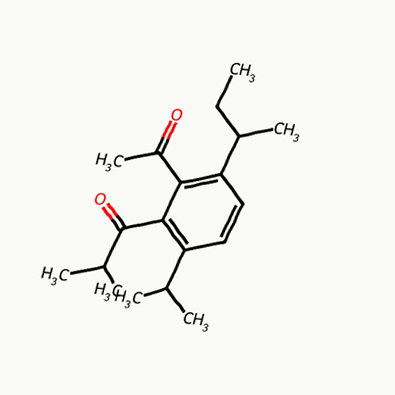 CCC(C)c1ccc(C(C)C)c(C(=O)C(C)C)c1C(C)=O